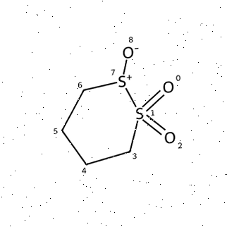 O=S1(=O)CCCC[S+]1[O-]